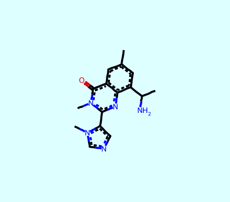 Cc1cc(C(C)N)c2nc(-c3cncn3C)n(C)c(=O)c2c1